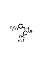 CC(C)(C)OC(=O)N1CC(O)C(Nc2cccc(OC(F)(F)F)c2)C1